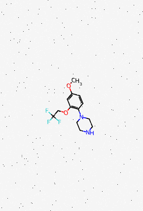 COc1ccc(N2CCNCC2)c(OCC(F)(F)F)c1